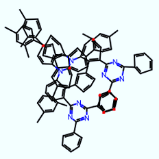 Cc1ccc(-c2ccc3c(c2)c2cc(-c4ccc(C)cc4C)ccc2n3-c2cccc(-c3nc(-c4ccccc4)nc(-c4ccccc4)n3)c2-c2cccc(-c3c(-c4nc(-c5ccccc5)nc(-c5ccccc5)n4)cccc3-n3c4ccc(-c5ccc(C)cc5C)cc4c4cc(-c5ccc(C)cc5C)ccc43)c2)c(C)c1